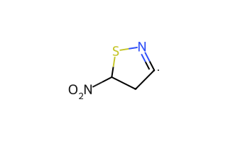 O=[N+]([O-])C1C[C]=NS1